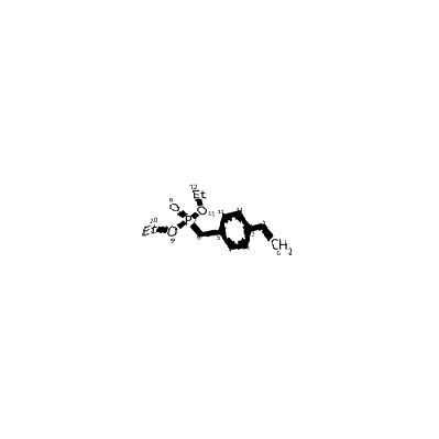 C=Cc1ccc(CP(=O)(OCC)OCC)cc1